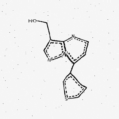 OCc1cnn2c(-c3ccsc3)ccnc12